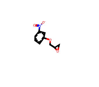 O=[N+]([O-])c1[c]c(OCC2CO2)ccc1